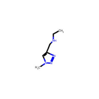 CCNCc1cn(C)nn1